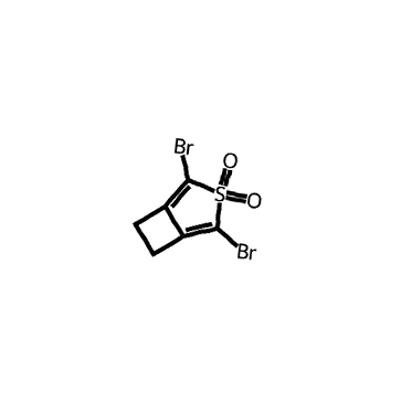 O=S1(=O)C(Br)=C2CCC2=C1Br